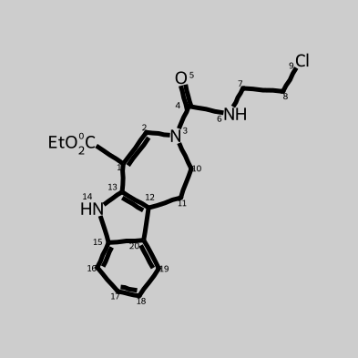 CCOC(=O)C1=CN(C(=O)NCCCl)CCc2c1[nH]c1ccccc21